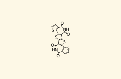 O=c1[nH]c(=O)c2c(sc3c2sc2c4sccc4c(=O)[nH]c(=O)c23)c2sccc12